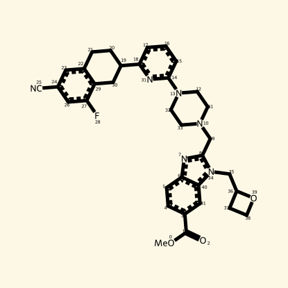 COC(=O)c1ccc2nc(CN3CCN(c4cccc(C5CCc6cc(C#N)cc(F)c6C5)n4)CC3)n(CC3CCO3)c2c1